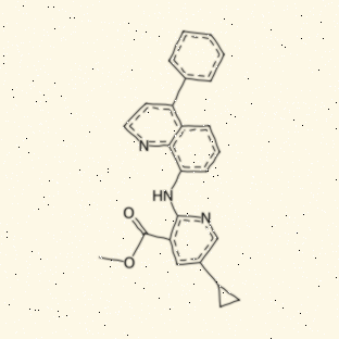 COC(=O)c1cc(C2CC2)cnc1Nc1cccc2c(-c3ccccc3)ccnc12